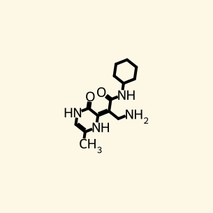 CC1=CNC(=O)/C(=C(/CN)C(=O)NC2CCCCC2)N1